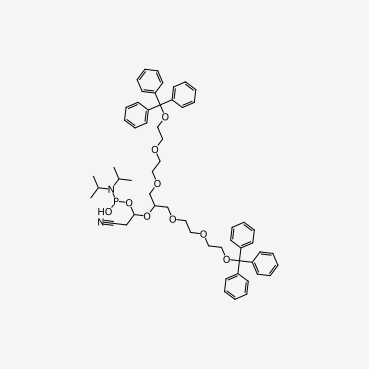 CC(C)N(C(C)C)P(O)OC(CC#N)OC(COCCOCCOC(c1ccccc1)(c1ccccc1)c1ccccc1)COCCOCCOC(c1ccccc1)(c1ccccc1)c1ccccc1